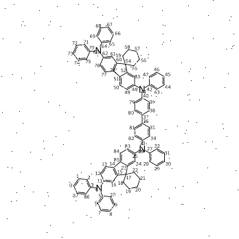 c1ccc(N(c2ccccc2)c2ccc3c(c2)C2(CCCCC2)c2cc(N(c4ccccc4)c4ccc(-c5ccc(N(c6ccccc6)c6ccc7c(c6)C6(CCCCC6)c6cc(N(c8ccccc8)c8ccccc8)ccc6-7)cc5)cc4)ccc2-3)cc1